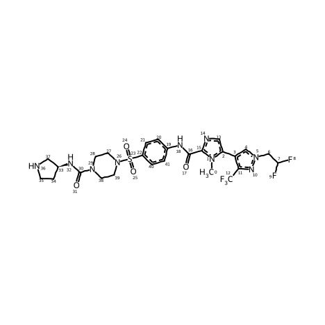 Cn1c(-c2cn(CC(F)F)nc2C(F)(F)F)cnc1C(=O)Nc1ccc(S(=O)(=O)N2CCN(C(=O)N[C@H]3CCNC3)CC2)cc1